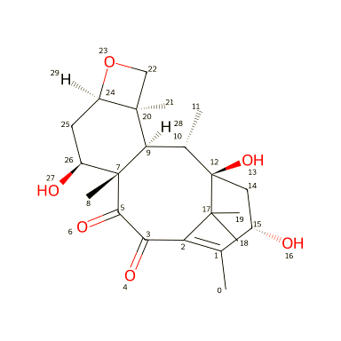 CC1=C2C(=O)C(=O)[C@@]3(C)[C@H]([C@H](C)[C@](O)(C[C@@H]1O)C2(C)C)[C@]1(C)CO[C@@H]1C[C@@H]3O